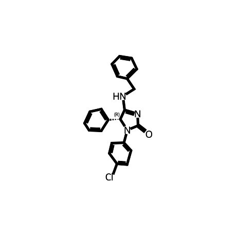 O=C1N=C(NCc2ccccc2)[C@@H](c2ccccc2)N1c1ccc(Cl)cc1